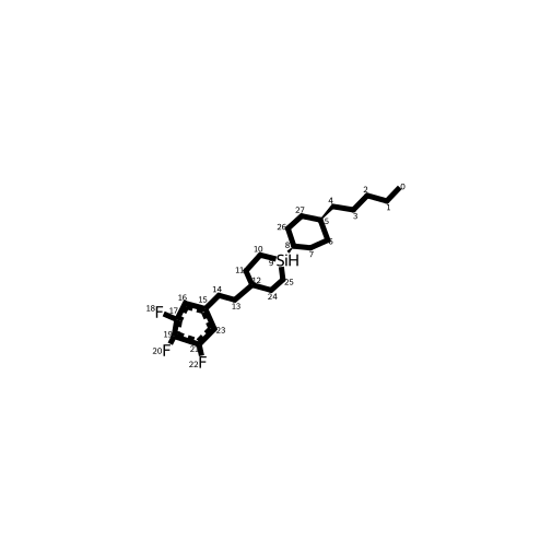 CCCCC[C@H]1CC[C@H]([SiH]2CCC(CCc3cc(F)c(F)c(F)c3)CC2)CC1